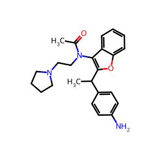 CC(=O)N(CCN1CCCC1)c1c(C(C)c2ccc(N)cc2)oc2ccccc12